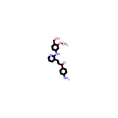 COc1cc(Nc2ncccc2/C=C/C(=O)c2ccc(N)cc2)ccc1CO